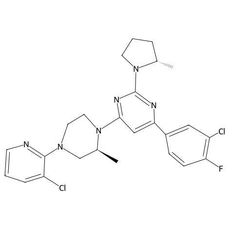 C[C@H]1CN(c2ncccc2Cl)CCN1c1cc(-c2ccc(F)c(Cl)c2)nc(N2CCC[C@@H]2C)n1